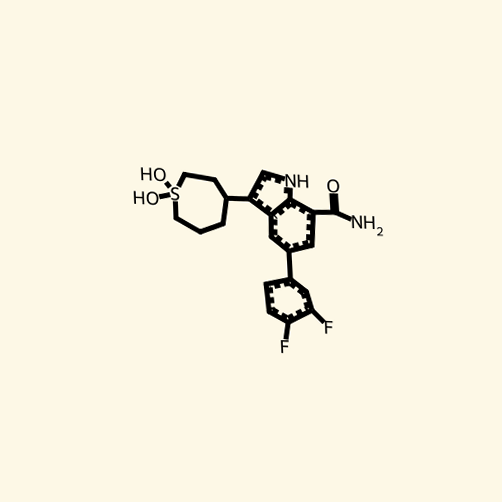 NC(=O)c1cc(-c2ccc(F)c(F)c2)cc2c(C3CCCS(O)(O)CC3)c[nH]c12